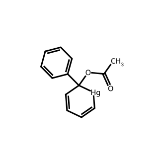 CC(=O)O[C]1(c2ccccc2)C=CC=[CH][Hg]1